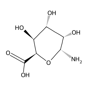 N[C@@H]1O[C@@H](C(=O)O)[C@@H](O)[C@H](O)[C@@H]1O